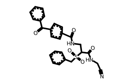 N#CCNC(=O)C(CNC(=O)c1ccc(C(=O)c2ccccc2)cc1)S(=O)(=O)Cc1ccccc1